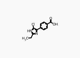 CCc1nc(-c2ccc(C(=O)O)cc2)c(Cl)[nH]1